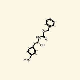 COc1ccc(C[C@@H](O)NC(=O)OCc2ccccc2)cc1